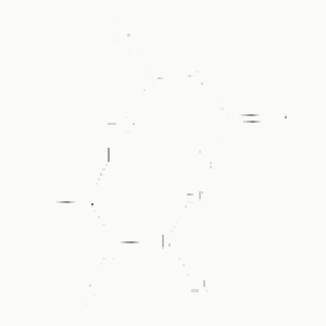 CCN(CC)C(=S)N(CC)CC.O=S(O)OS(=O)O